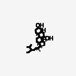 CCC(CC[C@@H](C)[C@H]1CCC2[C@@H]3C(O)C[C@@H]4CC(O)CC[C@]4(C)C3CC[C@@]21C)C(C)C